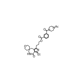 CCn1nc(CCCOC(=O)c2cccc(C(=O)N3CCN(C(C)=O)CC3)c2)c2c1C(=O)NCC1(CCOCC1)C2